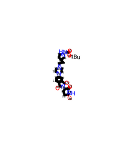 CC(C)(C)OC(=O)NN1CCC(CCN2CCN(c3ccc4c(c3)C(=O)N(C3CCC(=O)NC3=O)C4=O)CC2)C1